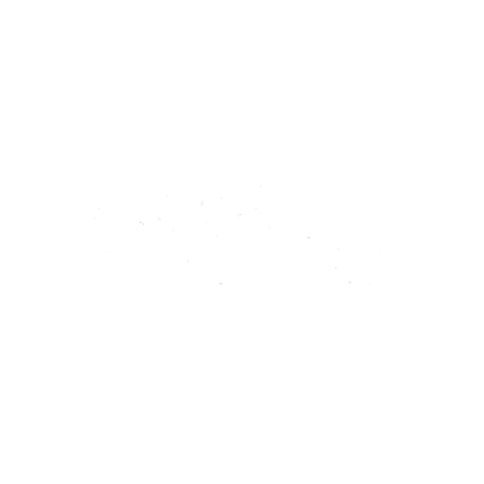 CCN(CC)c1ccc(C=CC(=O)CC(=O)CCc2ccc(O)cc2)c(OC(C)C)c1